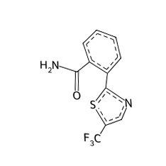 NC(=O)c1ccccc1-c1ncc(C(F)(F)F)s1